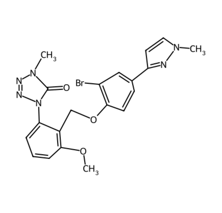 COc1cccc(-n2nnn(C)c2=O)c1COc1ccc(-c2ccn(C)n2)cc1Br